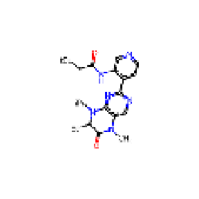 CCC1C(=O)N(C)c2cnc(-c3ccncc3NC(=O)CC(C)(C)C)nc2N1C(C)C